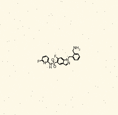 NCc1ccccc1Cn1ncc2cc(S(=O)(=O)Nc3cccc(F)n3)c(F)cc21